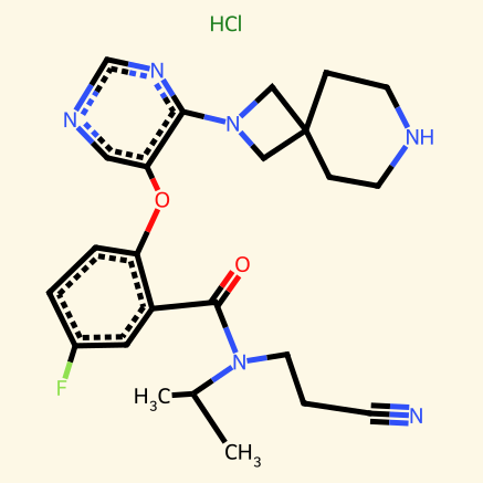 CC(C)N(CCC#N)C(=O)c1cc(F)ccc1Oc1cncnc1N1CC2(CCNCC2)C1.Cl